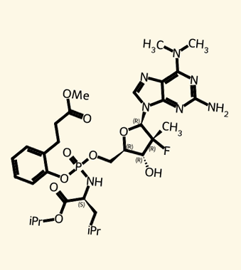 COC(=O)CCc1ccccc1OP(=O)(N[C@@H](CC(C)C)C(=O)OC(C)C)OC[C@H]1O[C@@H](n2cnc3c(N(C)C)nc(N)nc32)[C@](C)(F)[C@@H]1O